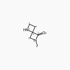 CN1CC2(CCN2)C1=O